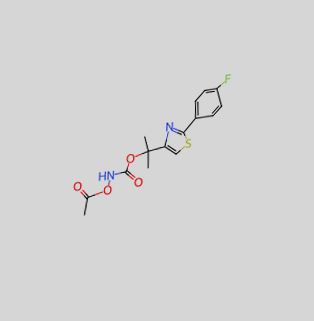 CC(=O)ONC(=O)OC(C)(C)c1csc(-c2ccc(F)cc2)n1